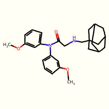 COc1cccc(N(C(=O)CNCC23CC4CC(CC(C4)C2)C3)c2cccc(OC)c2)c1